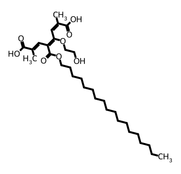 CCCCCCCCCCCCCCCCCCOC(=O)C(C=C(C)C(=O)O)=C(C=C(C)C(=O)O)OCCO